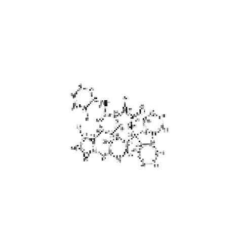 Cc1ncccc1Nc1cc(-c2c(C)noc2C)cc2c1n(C)c(=O)n2C(c1ccccc1)(c1ccccc1)c1ccccc1